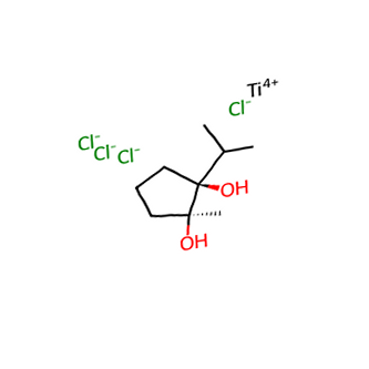 CC(C)[C@@]1(O)CCC[C@]1(C)O.[Cl-].[Cl-].[Cl-].[Cl-].[Ti+4]